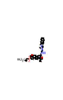 C=C(C)[C@@H]1CC[C@]2(CCNCCN3CCN(Cc4ccc5ccccc5c4)CC3)CC[C@]3(C)[C@H](CC[C@@H]4[C@@]5(C)CC[C@H](OC(=O)CC(C)(C)C(=O)O)C(C)(C)[C@@H]5CC[C@]43C)[C@@H]12